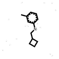 Cc1cccc([N]CC2CCC2)c1